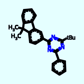 CC(C)(C)c1nc(-c2ccccc2)nc(-c2ccc3c(c2)-c2ccccc2C3(C)C)n1